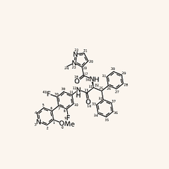 COc1cnccc1-c1c(F)cc(NC(=O)[C@@H](NC(=O)c2ccnn2C)C(c2ccccc2)c2ccccc2)cc1F